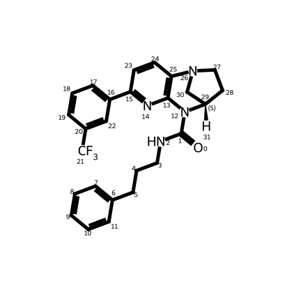 O=C(NCCCc1ccccc1)N1c2nc(-c3cccc(C(F)(F)F)c3)ccc2N2CC[C@H]1C2